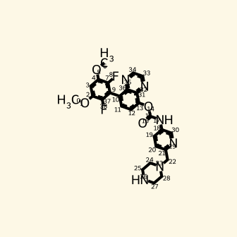 COc1cc(OC)c(F)c(-c2ccc(OC(=O)Nc3ccc(CN4CCNCC4)nc3)c3nccnc23)c1F